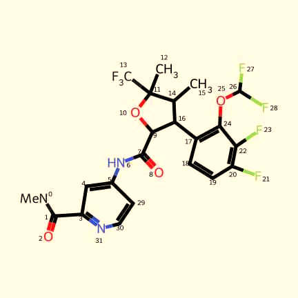 CNC(=O)c1cc(NC(=O)C2OC(C)(C(F)(F)F)C(C)C2c2ccc(F)c(F)c2OC(F)F)ccn1